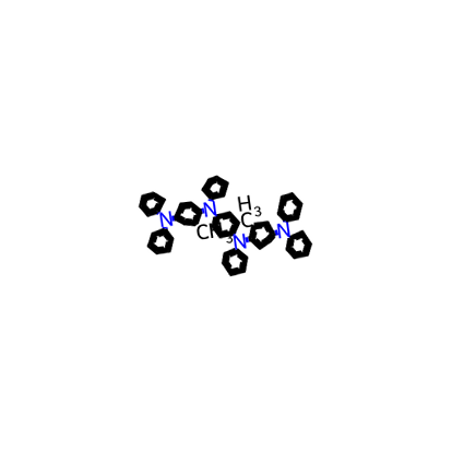 Cc1cc(N(c2ccccc2)c2ccccc2)ccc1N(c1ccccc1)c1ccc(N(c2ccccc2)c2ccc(N(c3ccccc3)c3ccccc3)cc2C)cc1